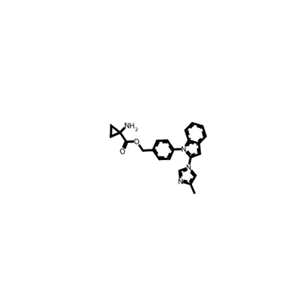 Cc1cn(-c2cc3ccccc3n2-c2ccc(COC(=O)C3(N)CC3)cc2)cn1